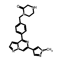 Cn1cc(-c2cn3nccc3c(-c3ccc(CN4CCNCC4=O)cc3)n2)cn1